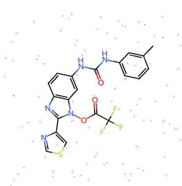 Cc1cccc(NC(=O)Nc2ccc3nc(-c4cscn4)n(OC(=O)C(F)(F)F)c3c2)c1